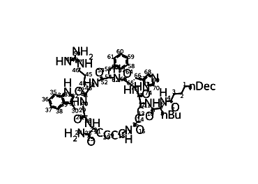 CCCCCCCCCCCCCC(=O)N[C@@H](CCCC)C(=O)N[C@H]1CCC(=O)NCCCC[C@@H](C(N)=O)NC(=O)[C@H](Cc2c[nH]c3ccccc23)NC(=O)[C@H](CCCNC(=N)N)NC(=O)[C@@H](Cc2ccccc2)NC(=O)[C@H](Cc2cnc[nH]2)NC1=O